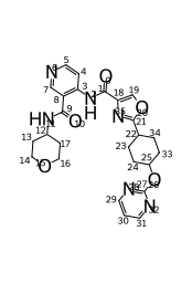 O=C(Nc1ccncc1C(=O)NC1CCOCC1)c1coc(C2CCC(Oc3ncccn3)CC2)n1